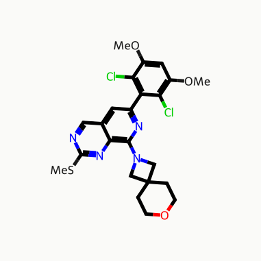 COc1cc(OC)c(Cl)c(-c2cc3cnc(SC)nc3c(N3CC4(CCOCC4)C3)n2)c1Cl